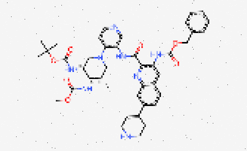 COC(=O)N[C@H]1[C@@H](C)CN(c2ccncc2NC(=O)c2nc3cc(C4=CCNCC4)ccc3cc2NC(=O)OCc2ccccc2)C[C@H]1NC(=O)OC(C)(C)C